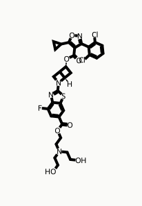 O=C(OCCN(CCO)CCO)c1cc(F)c2nc(N3CC4[C@H]3C[C@H]4OC(=O)c3c(-c4c(Cl)cccc4Cl)noc3C3CC3)sc2c1